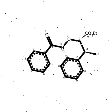 CCOC(=O)[C@@H](ONC(=O)c1ccccc1)[C@@H](C)c1ccccc1